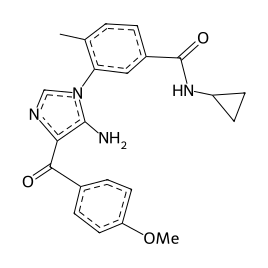 COc1ccc(C(=O)c2ncn(-c3cc(C(=O)NC4CC4)ccc3C)c2N)cc1